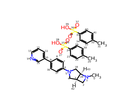 CN1C[C@H]2CN(c3ccc(-c4cccnc4)cc3)C[C@H]21.Cc1ccc(S(=O)(=O)O)cc1.Cc1ccc(S(=O)(=O)O)cc1